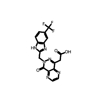 O=C(O)Cc1nn(Cc2nc3cc(C(F)(F)F)ccc3[nH]2)c(=O)c2nccnc12